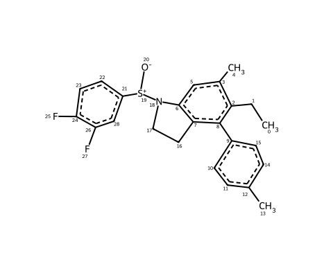 CCc1c(C)cc2c(c1-c1ccc(C)cc1)CCN2[S+]([O-])c1ccc(F)c(F)c1